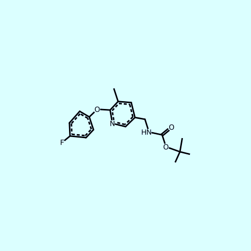 Cc1cc(CNC(=O)OC(C)(C)C)cnc1Oc1ccc(F)cc1